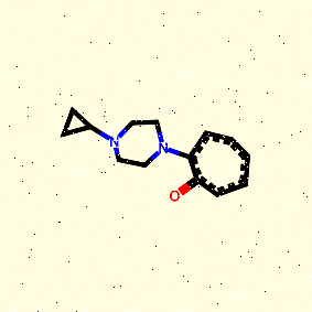 O=c1cccccc1N1CCN(C2CC2)CC1